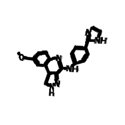 COc1ccc2nc(Nc3ccc(C4=NCCN4)cc3)c3n[nH]cc3c2c1